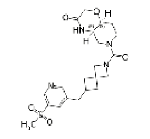 CS(=O)(=O)c1cncc(CC2CC3(C2)CN(C(=O)N2CC[C@@H]4OCC(=O)N[C@@H]4C2)C3)c1